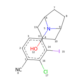 N#Cc1ccc(N2C3CCC2CC(O)C3)c(I)c1Cl